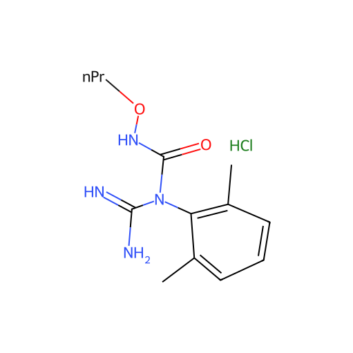 CCCONC(=O)N(C(=N)N)c1c(C)cccc1C.Cl